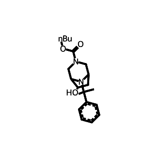 CCCCOC(=O)N1CC2CC(O)C(C1)N2C(C)(C)c1ccccc1